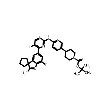 CC1=Nc2c(F)cc(-c3nc(Nc4ccc(C5CCN(C(=O)OC(C)(C)C)CC5)cn4)ncc3F)cc2C12CCCC2